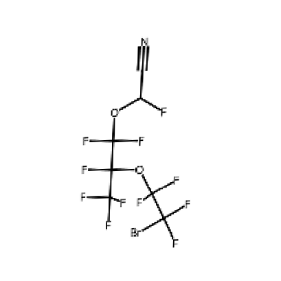 N#CC(F)OC(F)(F)C(F)(OC(F)(F)C(F)(F)Br)C(F)(F)F